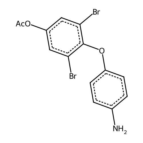 CC(=O)Oc1cc(Br)c(Oc2ccc(N)cc2)c(Br)c1